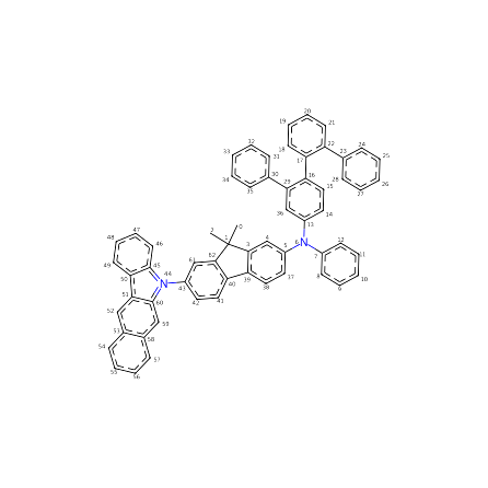 CC1(C)c2cc(N(c3ccccc3)c3ccc(-c4ccccc4-c4ccccc4)c(-c4ccccc4)c3)ccc2-c2ccc(-n3c4ccccc4c4cc5ccccc5cc43)cc21